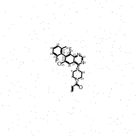 C=CC(=O)N1CCN(c2ncnc3c(F)c(-c4c(C)cccc4F)c(Cl)cc23)CC1